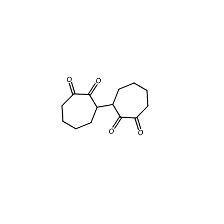 O=C1CCCCC(C2CCCCC(=O)C2=O)C1=O